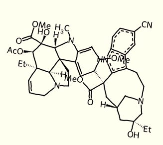 CC[C@]1(O)C[C@H]2CN(CCc3c([nH]c4ccc(C#N)cc34)[C@@](C(=O)OC)(C3C=C4C(=CC3OC)N(C)[C@H]3[C@@](O)(C(=O)OC)[C@H](OC(C)=O)[C@]5(CC)C=CCN6CC[C@]43[C@@H]65)C2)C1